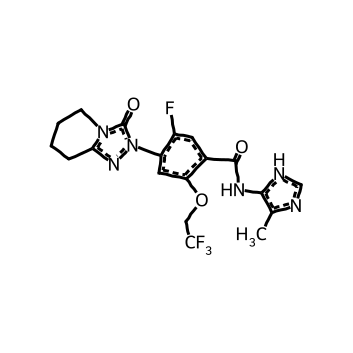 Cc1nc[nH]c1NC(=O)c1cc(F)c(-n2nc3n(c2=O)CCCC3)cc1OCC(F)(F)F